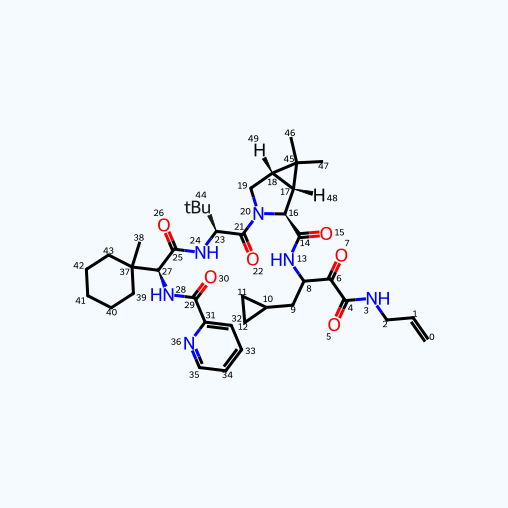 C=CCNC(=O)C(=O)C(CC1CC1)NC(=O)[C@@H]1[C@@H]2[C@H](CN1C(=O)[C@@H](NC(=O)[C@@H](NC(=O)c1ccccn1)C1(C)CCCCC1)C(C)(C)C)C2(C)C